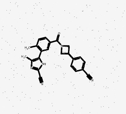 Cc1ccc(C(=O)N2CC(c3ccc(C#N)cc3)C2)cc1-c1[nH]c(C#N)nc1C